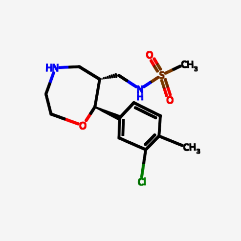 Cc1ccc([C@H]2OCCNC[C@@H]2CNS(C)(=O)=O)cc1Cl